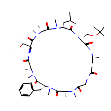 CC(C)C[C@H]1C(=O)N[C@@H](COC(C)(C)C)C(=O)N[C@@H](C)CC(=O)N[C@H](C)C(=O)N(C)[C@@H](C)C(=O)N(C)[C@@H](Cc2ccccc2)C(=O)N(C)[C@@H](C)C(=O)/N=C(/[C@@H](C)O)C(=O)N(C)[C@@H](C)C(=O)N1C